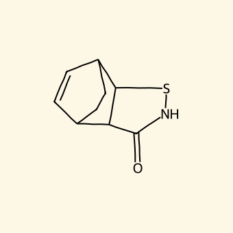 O=C1NSC2C3C=CC(CC3)C12